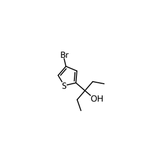 CCC(O)(CC)c1cc(Br)cs1